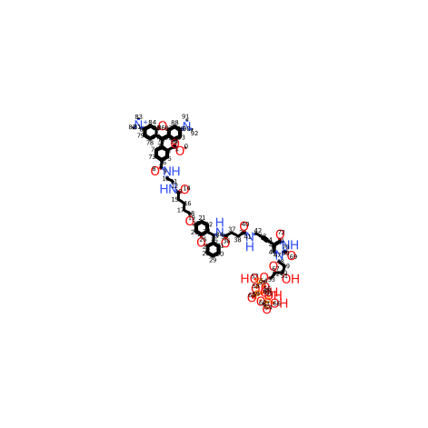 COC(=O)c1cc(C(=O)NCCNC(=O)CCCCOc2ccc3c(c2)Oc2ccccc2C3NC(=O)CCC(=O)NCC#Cc2cn(C3CC(O)C(COP(=O)(O)OP(=O)(O)OP(=O)(O)O)O3)c(=O)[nH]c2=O)ccc1-c1c2ccc(=[N+](C)C)cc-2oc2cc(N(C)C)ccc12